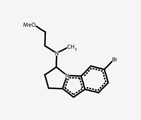 COCCN(C)C1CCc2cc3ccc(Br)cc3n21